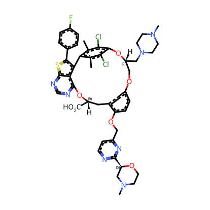 Cc1c(Cl)c2c(Cl)c(C)c1-c1c(-c3ccc(F)cc3)sc3ncnc(c13)O[C@@H](C(=O)O)Cc1cc(ccc1OCc1ccnc([C@@H]3CN(C)CCO3)n1)OC[C@@H](CN1CCN(C)CC1)O2